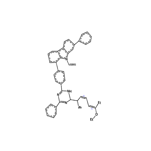 C=Cn1c2cc(-c3ccccc3)ccc2c2cccc(-c3ccc(C4=NC(c5ccccc5)=NC(C(/C=C\C=C(/CC)OCC)C(C)C)N4)cc3)c21